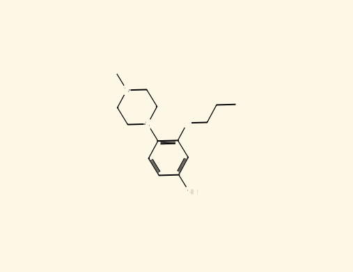 CCCOc1cc(N)ccc1N1CCN(C)CC1